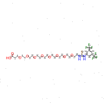 O=C(O)CCOCCOCCOCCOCCOCCOCCOCCOCCNC(=S)Nc1cc(C(F)(F)F)cc(C(F)(F)F)c1